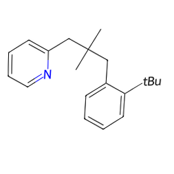 CC(C)(Cc1ccccn1)Cc1ccccc1C(C)(C)C